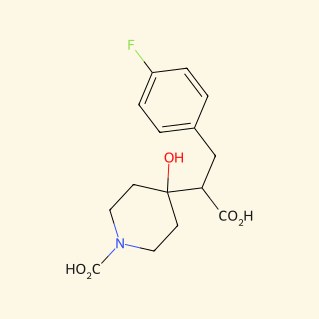 O=C(O)C(Cc1ccc(F)cc1)C1(O)CCN(C(=O)O)CC1